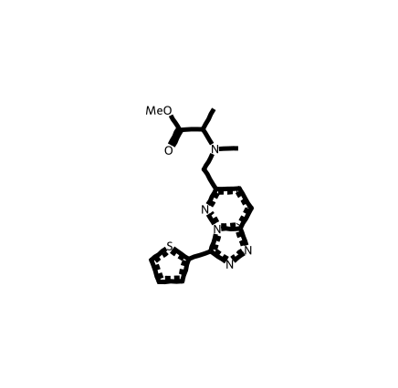 COC(=O)C(C)N(C)Cc1ccc2nnc(-c3cccs3)n2n1